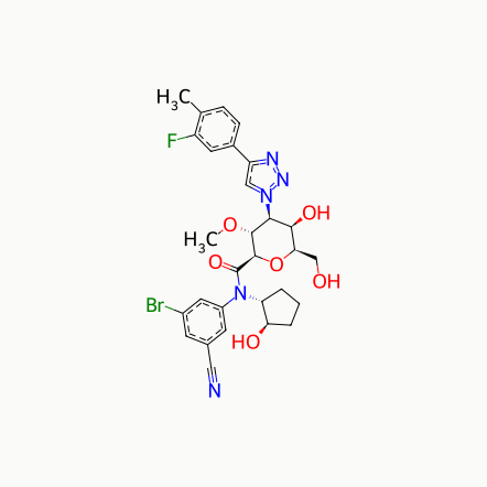 CO[C@@H]1[C@@H](n2cc(-c3ccc(C)c(F)c3)nn2)[C@@H](O)[C@@H](CO)O[C@H]1C(=O)N(c1cc(Br)cc(C#N)c1)[C@@H]1CCC[C@H]1O